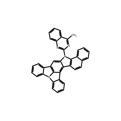 Cc1nc(-n2c3cc4c5ccccc5n5c6ccccc6c(c3c3ccc6ccccc6c32)c45)nc2ccccc12